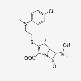 CC1C(SCC[S+](C)c2ccc(Cl)cc2)=C(C(=O)[O-])N2C(=O)C([C@@H](C)O)C12